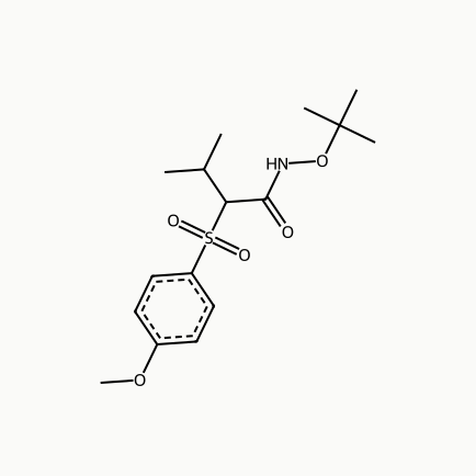 COc1ccc(S(=O)(=O)C(C(=O)NOC(C)(C)C)C(C)C)cc1